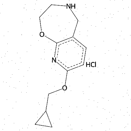 Cl.c1cc2c(nc1OCC1CC1)OCCNC2